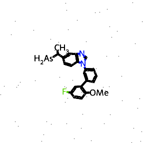 COc1ccc(F)cc1-c1cccc(-n2cnc3cc(C(C)[AsH2])ccc32)c1